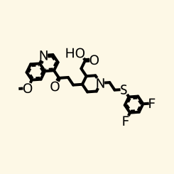 COc1ccc2nccc(C(=O)CCC3CCN(CCSc4cc(F)cc(F)c4)CC3CC(=O)O)c2c1